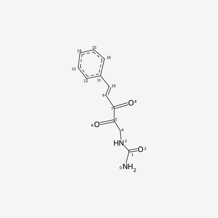 NC(=O)NCC(=O)C(=O)/C=C/c1ccccc1